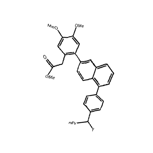 CCCC(F)c1ccc(-c2cccc3cc(-c4cc(OC)c(OC)cc4CC(=O)OC)ccc23)cc1